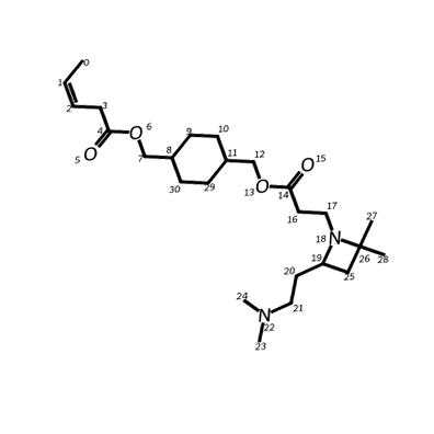 C/C=C\CC(=O)OCC1CCC(COC(=O)CCN2C(CCN(C)C)CC2(C)C)CC1